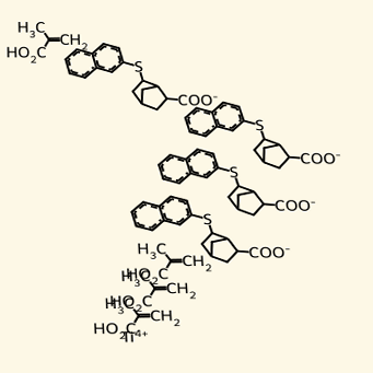 C=C(C)C(=O)O.C=C(C)C(=O)O.C=C(C)C(=O)O.C=C(C)C(=O)O.O=C([O-])C1CC2CC(Sc3ccc4ccccc4c3)C1C2.O=C([O-])C1CC2CC(Sc3ccc4ccccc4c3)C1C2.O=C([O-])C1CC2CC(Sc3ccc4ccccc4c3)C1C2.O=C([O-])C1CC2CC(Sc3ccc4ccccc4c3)C1C2.[Ti+4]